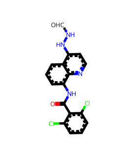 O=CNNc1ccnc2c(NC(=O)c3c(Cl)cccc3Cl)cccc12